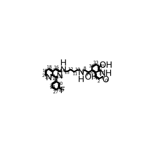 O=c1ccc2c([C@@H](O)CNCCCCNc3cc4cccnc4c(-c4cccc(F)c4)n3)ccc(O)c2[nH]1